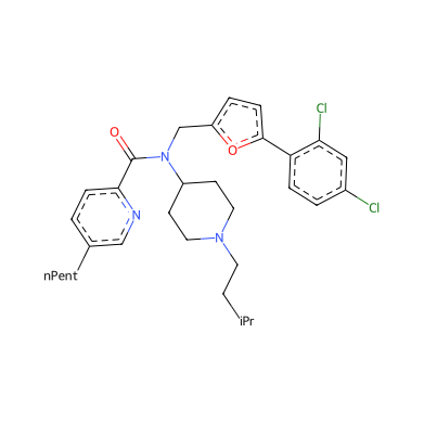 CCCCCc1ccc(C(=O)N(Cc2ccc(-c3ccc(Cl)cc3Cl)o2)C2CCN(CCC(C)C)CC2)nc1